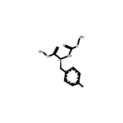 C=C(OC(C)(C)C)[C@H](Cc1ccc(C)cc1)NC(=O)OC(C)(C)C